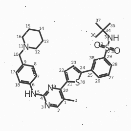 Cc1cnc(Nc2ccc(CN3CCCCC3)cc2)nc1-c1ccc(-c2cccc(S(=O)(=O)NC(C)(C)C)c2)s1